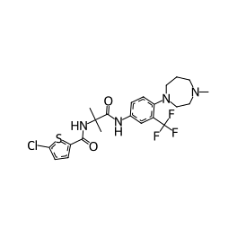 CN1CCCN(c2ccc(NC(=O)C(C)(C)NC(=O)c3ccc(Cl)s3)cc2C(F)(F)F)CC1